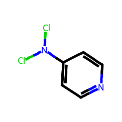 ClN(Cl)c1ccncc1